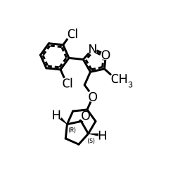 Cc1onc(-c2c(Cl)cccc2Cl)c1COC1C[C@H]2CC[C@@H](C1)C2=O